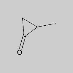 [CH2]C1CC1=O